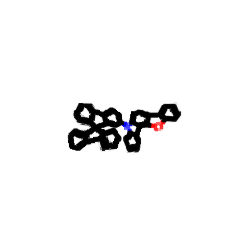 c1ccc2c(c1)-c1ccccc1C21c2ccccc2-c2ccc(-n3c4ccccc4c4c5oc6ccccc6c5ccc43)cc21